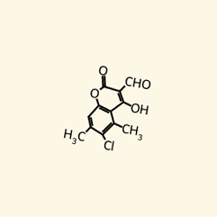 Cc1cc2oc(=O)c(C=O)c(O)c2c(C)c1Cl